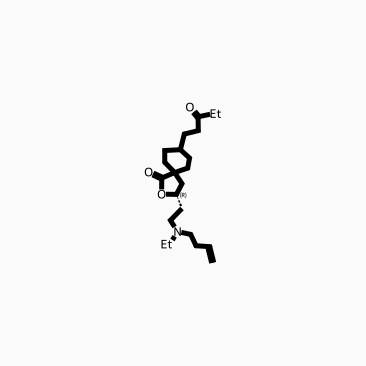 C=CCCN(CC)CC[C@H]1CC2(CCC(CCC(=O)CC)CC2)C(=O)O1